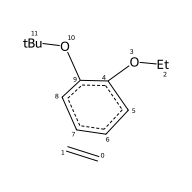 C=C.CCOc1ccccc1OC(C)(C)C